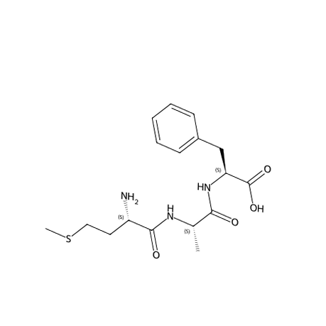 CSCC[C@H](N)C(=O)N[C@@H](C)C(=O)N[C@@H](Cc1ccccc1)C(=O)O